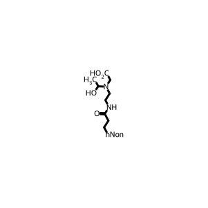 CCCCCCCCCCCC(=O)NCCN(CC(=O)O)C(C)O